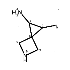 CC1C(N)C12CNC2